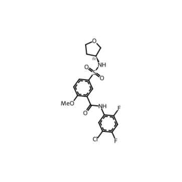 COc1ccc(S(=O)(=O)N[C@H]2CCOC2)cc1C(=O)Nc1cc(Cl)c(F)cc1F